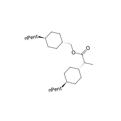 CCCCC[C@H]1CC[C@H](COC(=O)C(C)[C@H]2CC[C@H](CCCCC)CC2)CC1